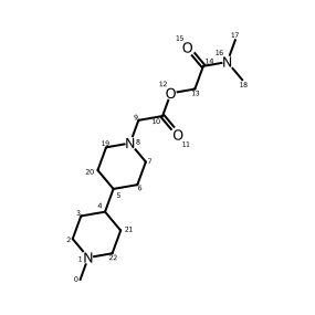 CN1CCC(C2CCN(CC(=O)OCC(=O)N(C)C)CC2)CC1